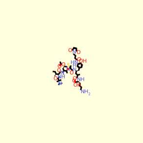 CC[C@H](C)[C@H](NC(=O)C(C)(C)N(C)C)C(=O)N(C)C(C[C@@H](OC(C)=O)c1nc(C(=O)N[C@@H](Cc2ccc(O)c(NC(=O)CCCN3C(=O)C=CC3=O)c2)CC(C)C(=O)N[C@@H](CCCCN)C(=O)O)cs1)C(C)C